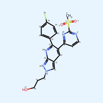 CS(=O)(=O)c1nccc(-c2cc3cn(CCCO)nc3nc2-c2ccc(F)cc2)n1